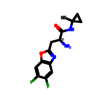 N#CC1(NC(=O)[C@@H](N)Cc2nc3cc(F)c(F)cc3o2)CC1